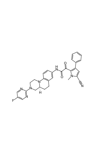 Cn1c(C#N)cc(-c2ccccc2)c1C(=O)C(=O)Nc1ccc2c(c1)CC[C@H]1CN(c3ncc(F)cn3)CCN21